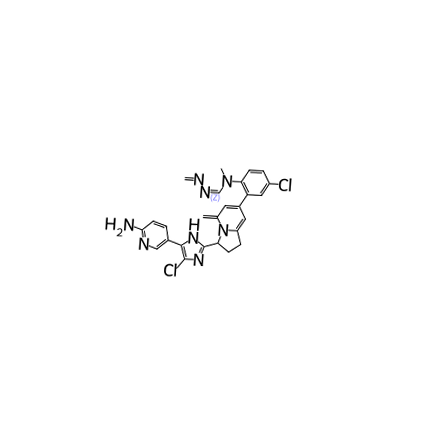 C=N/N=C\N(C)c1ccc(Cl)cc1C1=CC(=C)N2C(=C1)CCC2c1nc(Cl)c(-c2ccc(N)nc2)[nH]1